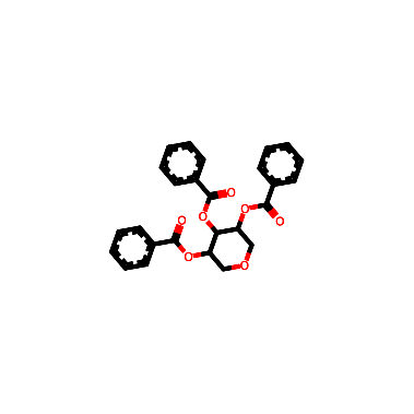 O=C(OC1COCC(OC(=O)c2ccccc2)C1OC(=O)c1ccccc1)c1ccccc1